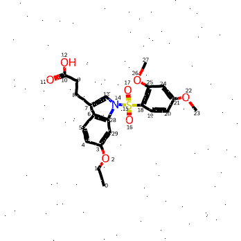 CCOc1ccc2c(CCC(=O)O)cn(S(=O)(=O)c3ccc(OC)cc3OC)c2c1